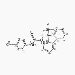 C[Si](C)(C)C1(COC(=O)Nc2ccc(Cl)cc2)c2ccccc2-c2ccccc21